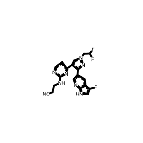 N#CCCNc1nccc(-c2cn(CC(F)F)nc2-c2cnc3[nH]cc(F)c3c2)n1